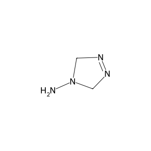 NN1CN=NC1